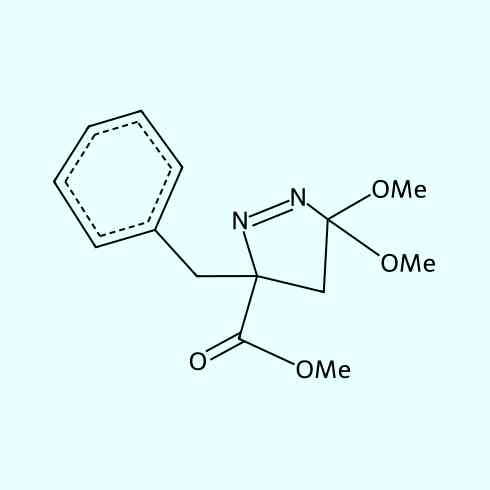 COC(=O)C1(Cc2ccccc2)CC(OC)(OC)N=N1